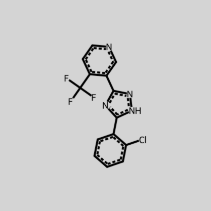 FC(F)(F)c1ccncc1-c1n[nH]c(-c2ccccc2Cl)n1